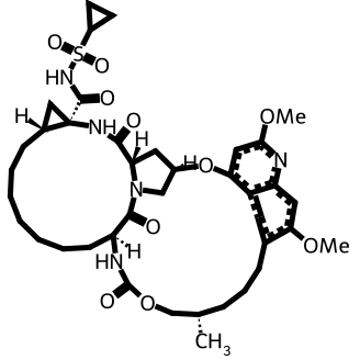 COc1cc2c3cc(c(OC)cc3n1)CCC[C@H](C)COC(=O)N[C@H]1CCCCCCC[C@@H]3C[C@@]3(C(=O)NS(=O)(=O)C3CC3)NC(=O)[C@@H]3C[C@H](CN3C1=O)O2